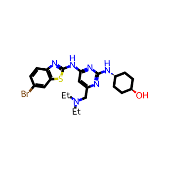 CCN(CC)Cc1cc(Nc2nc3ccc(Br)cc3s2)nc(N[C@H]2CC[C@H](O)CC2)n1